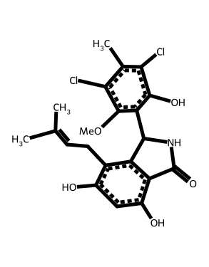 COc1c(Cl)c(C)c(Cl)c(O)c1C1NC(=O)c2c(O)cc(O)c(CC=C(C)C)c21